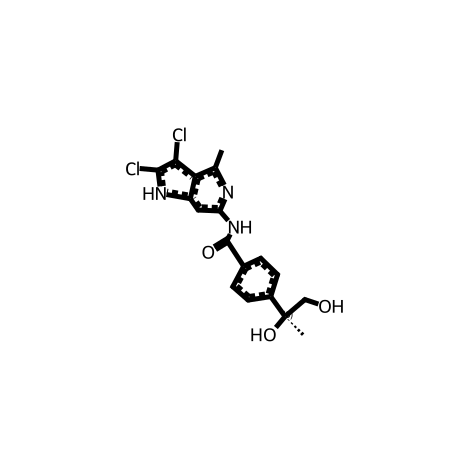 Cc1nc(NC(=O)c2ccc([C@](C)(O)CO)cc2)cc2[nH]c(Cl)c(Cl)c12